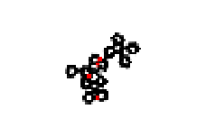 c1ccc(-c2ccc(N(c3ccc(-c4ccc5c(c4)c(-c4ccccc4)c(-c4ccccc4)c4ccccc45)cc3)c3cccc4c3-c3ccccc3C4(c3ccccc3)c3ccccc3)c(-c3ccccc3)c2)cc1